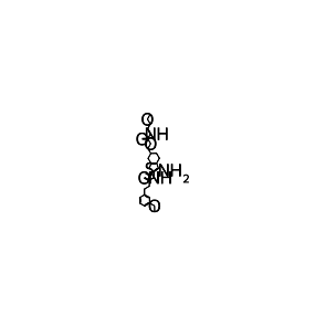 COCCNC(=O)OCC1CCc2c(sc(NC(=O)CCc3cccc(OC)c3)c2N)C1